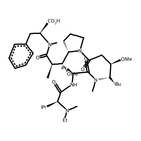 CC[C@H](C)[C@@H]([C@@H](CC(=O)N1CCC[C@H]1[C@H](OC)[C@@H](C)C(=O)N(C)[C@@H](Cc1ccccc1)C(=O)O)OC)N(C)C(=O)[C@@H](NC(=O)[C@H](C(C)C)N(C)CC)C(C)C